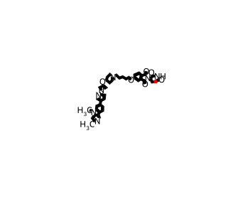 Cc1cc2c(cn1)c1ccc(-c3ccc(N4CC(OC5CCN(CCCCCOc6ccc7c(c6)C(=O)N(C6CCC(=O)NC6=O)C7=O)CC5)C4)nc3)cc1n2C